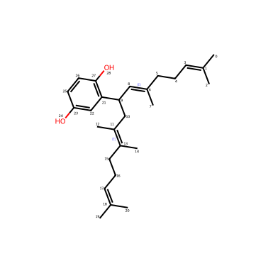 CC(C)=CCC/C(C)=C/C(C/C(C)=C(\C)CCC=C(C)C)c1cc(O)ccc1O